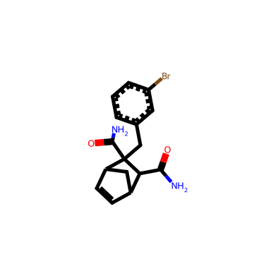 NC(=O)C1C2C=CC(C2)C1(Cc1cccc(Br)c1)C(N)=O